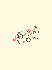 COc1ccc(Br)c(S[C@]23CCC4(C[C@]2(O)CC[C@@H]2C3=CC[C@]3(C)[C@@H](O)CC[C@@H]23)OCC(C)(C)CO4)c1